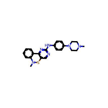 CN1CCN(c2ccc(Nc3ncc4c(n3)-c3ccccc3N(C)S4)cc2)CC1